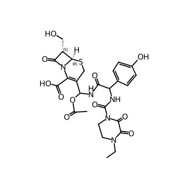 CCN1CCN(C(=O)NC(C(=O)NC(OC(C)=O)C2=C(C(=O)O)N3C(=O)[C@H](CO)[C@H]3SC2)c2ccc(O)cc2)C(=O)C1=O